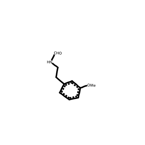 COc1cccc(CCNC=O)c1